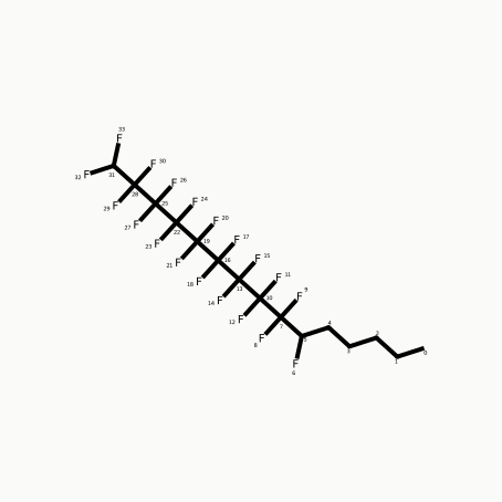 CCCCCC(F)C(F)(F)C(F)(F)C(F)(F)C(F)(F)C(F)(F)C(F)(F)C(F)(F)C(F)(F)[C](F)F